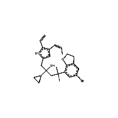 C=Cc1[nH]c(CC(O)(CC(C)(C)c2cc(Br)cc3c2OCC3)C2CC2)cc1/C=C\C